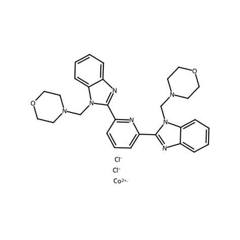 [Cl-].[Cl-].[Co+2].c1cc(-c2nc3ccccc3n2CN2CCOCC2)nc(-c2nc3ccccc3n2CN2CCOCC2)c1